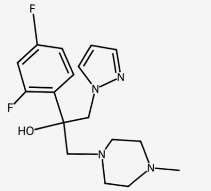 CN1CCN(CC(O)(Cn2cccn2)c2ccc(F)cc2F)CC1